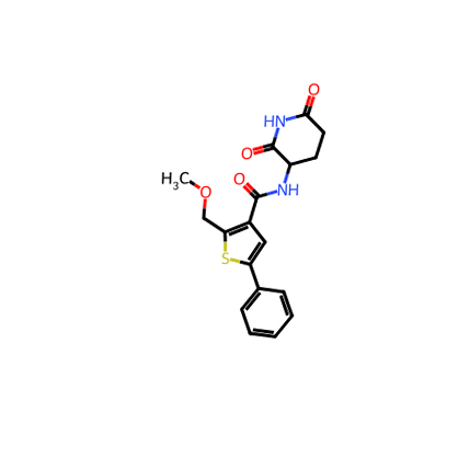 COCc1sc(-c2ccccc2)cc1C(=O)NC1CCC(=O)NC1=O